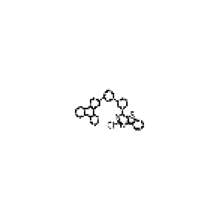 Clc1nc(-c2cccc(-c3cccc(-c4ccc5c6ccccc6c6ccccc6c5c4)c3)c2)c2sc3ccccc3c2n1